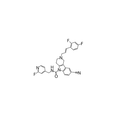 N#Cc1ccc2c(c1)c1c(n2C(=O)NCc2ccnc(F)c2)CCN(C/C=C/c2ccc(F)cc2F)C1